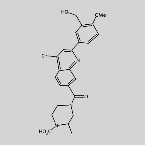 COc1ccc(-c2cc(Cl)c3ccc(C(=O)N4CCN(C(=O)O)C(C)C4)cc3n2)cc1CO